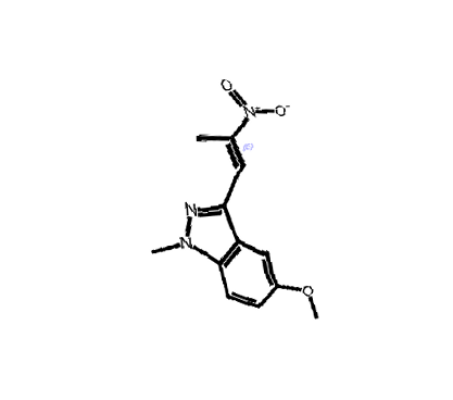 COc1ccc2c(c1)c(/C=C(\C)[N+](=O)[O-])nn2C